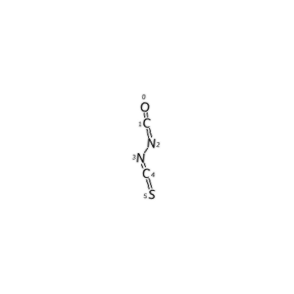 O=C=NN=C=S